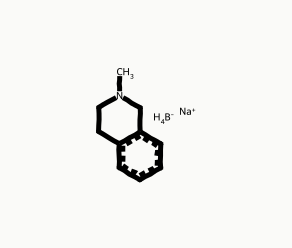 CN1CCc2ccccc2C1.[BH4-].[Na+]